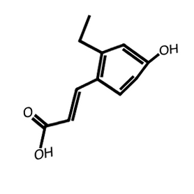 CCc1cc(O)ccc1C=CC(=O)O